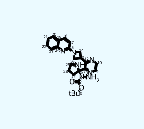 CC(C)(C)OC(=O)N(N)[C@@]1(c2nccnc2C2CN(c3ccc4ccccc4n3)C2)CCCN1